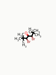 CC(C)(C)C(Br)C(=O)C(Br)C(C)(C)C